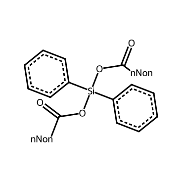 CCCCCCCCCC(=O)O[Si](OC(=O)CCCCCCCCC)(c1ccccc1)c1ccccc1